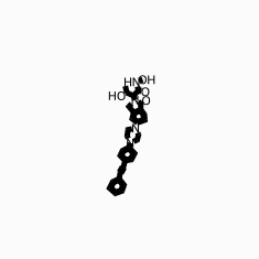 CC(O)C(C(=O)NO)N1Cc2cc(N3CCN(c4ccc(C#Cc5ccccc5)cc4)CC3)ccc2C1=O